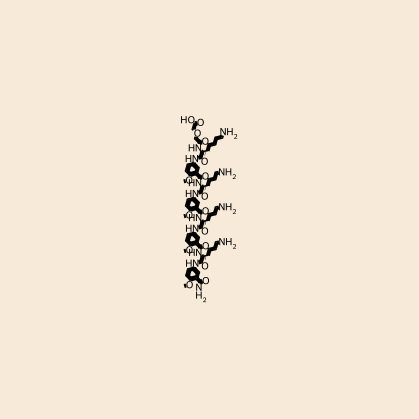 COc1ccc(NC(=O)[C@H](CCCCN)NC(=O)c2cc(NC(=O)[C@H](CCCCN)NC(=O)c3cc(NC(=O)[C@H](CCCCN)NC(=O)c4cc(NC(=O)[C@H](CCCCCN)NC(=O)COCC(=O)O)ccc4OC)ccc3OC)ccc2OC)cc1C(N)=O